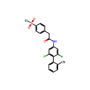 CCS(=O)(=O)c1ccc(CC(=O)Nc2cc(F)c(-c3ccccc3C#N)c(F)c2)cc1